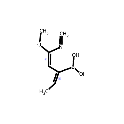 C=N/C(=C\C(=C/C)B(O)O)OC